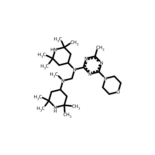 Cc1nc(N2CCOCC2)nc(N(CN(C)C2CC(C)(C)NC(C)(C)C2)C2CC(C)(C)NC(C)(C)C2)n1